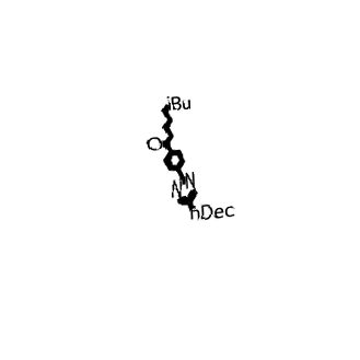 CCCCCCCCCCc1cnc(-c2ccc(C(=O)CCCCC(C)CC)cc2)nc1